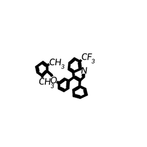 Cc1cccc(C)c1COc1cccc(-c2c(-c3ccccc3)cnc3c(C(F)(F)F)cccc23)c1